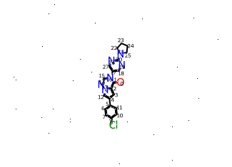 O=c1c2cc(-c3ccc(Cl)cc3)cn2ncn1-c1cnc(N2CCCC2)nc1